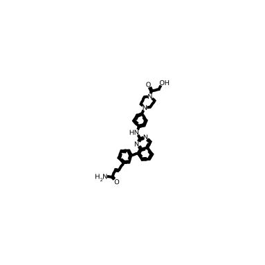 NC(=O)C=Cc1cccc(-c2cccc3cnc(Nc4ccc(N5CCN(C(=O)CO)CC5)cc4)nc23)c1